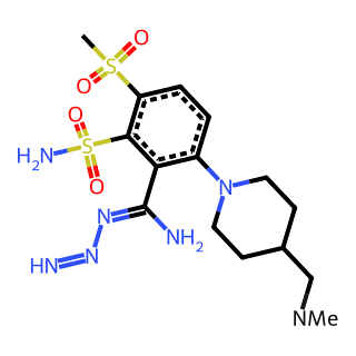 CNCC1CCN(c2ccc(S(C)(=O)=O)c(S(N)(=O)=O)c2/C(N)=N/N=N)CC1